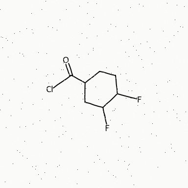 O=C(Cl)C1CCC(F)C(F)C1